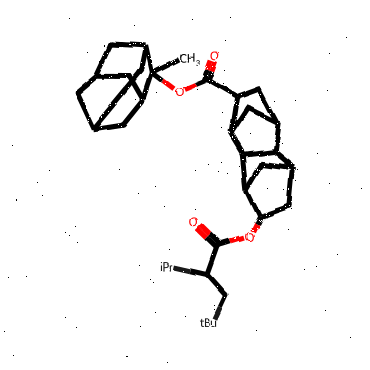 CC(C)C(CC(C)(C)C)C(=O)OC1CC2CC1C1C3CC(CC3C(=O)OC3(C)C4CC5CC(C4)CC3C5)C21